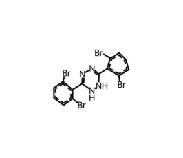 Brc1cccc(Br)c1C1=NN=C(c2c(Br)cccc2Br)NN1